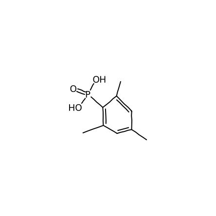 Cc1cc(C)c(P(=O)(O)O)c(C)c1